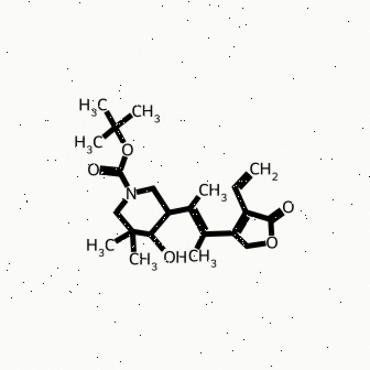 C=CC1=C(/C(C)=C(\C)C2CN(C(=O)OC(C)(C)C)CC(C)(C)C2O)COC1=O